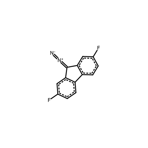 [N-]=[N+]=C1c2cc(F)ccc2-c2ccc(F)cc21